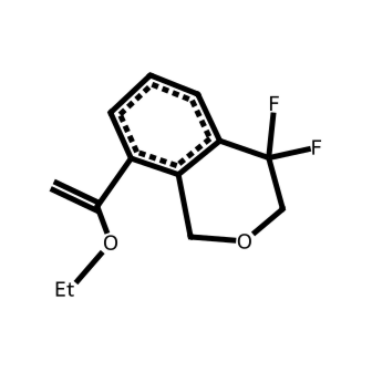 C=C(OCC)c1cccc2c1COCC2(F)F